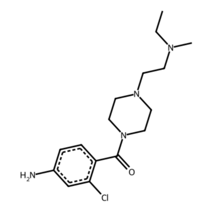 CCN(C)CCN1CCN(C(=O)c2ccc(N)cc2Cl)CC1